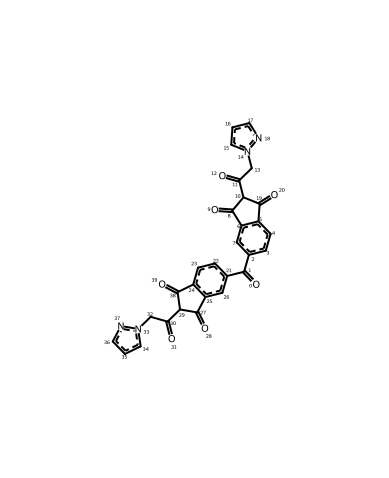 O=C(c1ccc2c(c1)C(=O)C(C(=O)Cn1cccn1)C2=O)c1ccc2c(c1)C(=O)C(C(=O)Cn1cccn1)C2=O